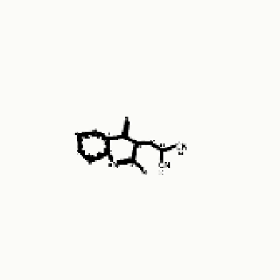 C=C1c2ccccc2N=C(C)C1CC(C#N)C#N